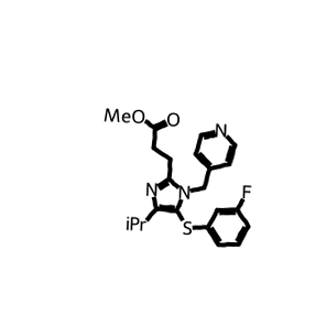 COC(=O)CCc1nc(C(C)C)c(Sc2cccc(F)c2)n1Cc1ccncc1